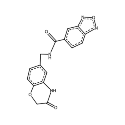 O=C1COc2ccc(CNC(=O)c3ccc4nonc4c3)cc2N1